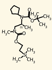 C[C@@H](CN(C)C(=O)OCC[Si](C)(C)C)N(C(=O)OC(C)(C)C)C1CCCC1